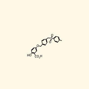 Cc1ccc(S(=O)(=O)Cc2ccc(COc3ccc(O)c(C(=O)O)c3)cc2)cc1